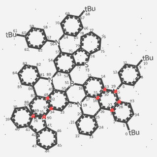 CC(C)(C)c1ccc(N(c2ccc(C(C)(C)C)cc2)c2ccc3c(c2)N(c2ccccc2-c2ccccc2)c2cc(-n4c5ccccc5c5ccccc54)cc4c2B3c2c(cc(N(c3ccc(C(C)(C)C)cc3)c3ccc(C(C)(C)C)cc3)c3c2sc2ccccc23)N4c2ccccc2-c2ccccc2)cc1